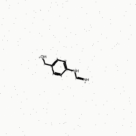 N=CNc1ccc(CO)cc1